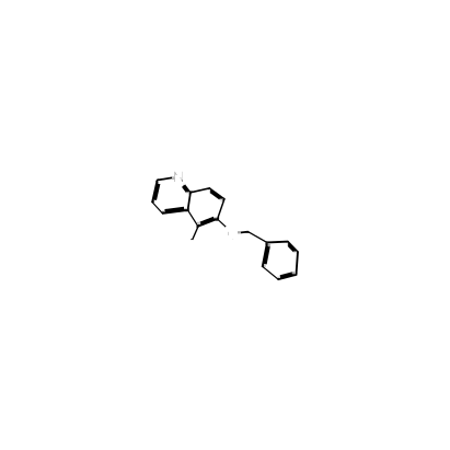 Ic1c(OCc2ccccc2)ccc2ncccc12